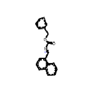 O=C(/N=C/c1cccc2ccccc12)OCc1ccccc1